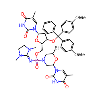 CC[C@@H]1CN([P@@](=O)(N=C2N(C)CCN2C)OC[C@H]2O[C@@H](n3cc(C)c(=O)[nH]c3=O)CC2OC(c2ccccc2)(c2ccc(OC)cc2)c2ccc(OC)cc2)C[C@H](n2cc(C)c(=O)[nH]c2=O)O1